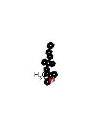 CC1(C)c2ccc(-c3c4ccccc4c(-c4ccc5cc(-c6ccccc6)ccc5c4)c4ccccc34)cc2-c2c1c1c3ccccc3oc1c1ccccc21